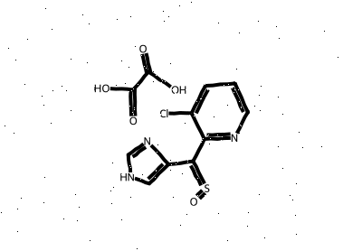 O=C(O)C(=O)O.O=S=C(c1c[nH]cn1)c1ncccc1Cl